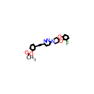 CC(=O)Oc1cccc(C#Cc2ccc(N3CCC4(CC3)Oc3cccc(F)c3O4)nn2)c1